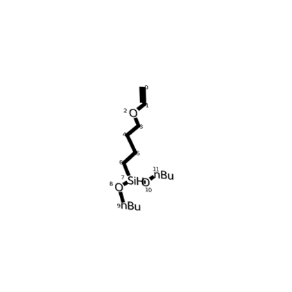 C=COCCCC[SiH](OCCCC)OCCCC